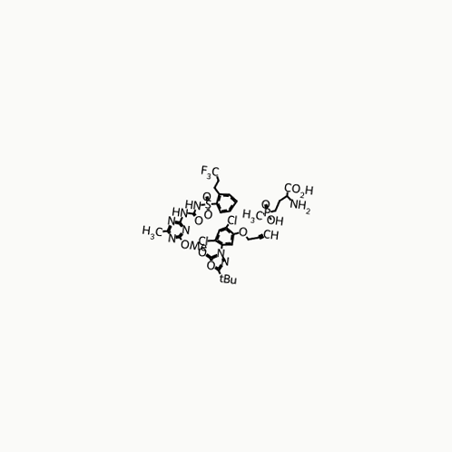 C#CCOc1cc(-n2nc(C(C)(C)C)oc2=O)c(Cl)cc1Cl.COc1nc(C)nc(NC(=O)NS(=O)(=O)c2ccccc2CCC(F)(F)F)n1.CP(=O)(O)CCC(N)C(=O)O